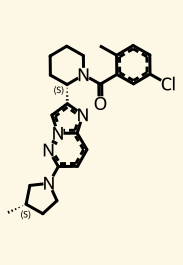 Cc1ccc(Cl)cc1C(=O)N1CCCC[C@H]1c1cn2nc(N3CC[C@H](C)C3)ccc2n1